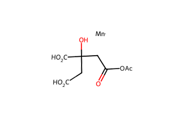 CC(=O)OC(=O)CC(O)(CC(=O)O)C(=O)O.[Mn]